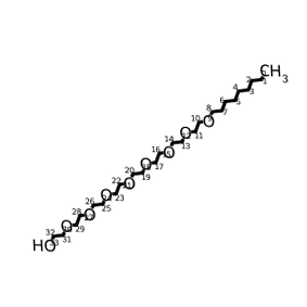 CCCCCCCCCOCCOCCOCCOCCOCCOCCOCCOCCO